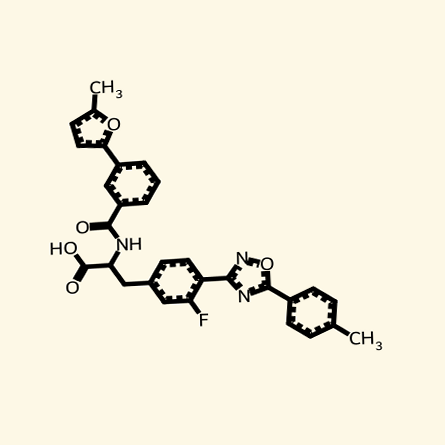 Cc1ccc(-c2nc(-c3ccc(CC(NC(=O)c4cccc(-c5ccc(C)o5)c4)C(=O)O)cc3F)no2)cc1